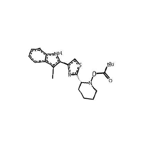 Cc1c(-c2csc([C@H]3CCCCN3OC(=O)C(C)(C)C)n2)[nH]c2ccccc12